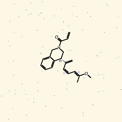 C=CC(=O)N1Cc2ccccc2[C@@H](C(=C)/C=C\C=C(/C)OC)C1